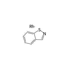 [Rh].c1ccc2sncc2c1